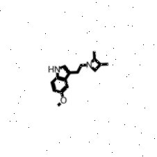 COc1ccc2[nH]cc(CCN3CC(C)C3C)c2c1